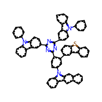 c1ccc(-n2c3ccccc3c3cc(-c4nc(-c5ccc6c(c5)c5ccccc5n6-c5ccccc5)nc(-c5ccc(-n6c7ccccc7c7cc8ccccc8cc76)cc5-c5ccc6sc7ccccc7c6c5)n4)ccc32)cc1